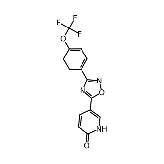 O=c1ccc(-c2nc(C3=CC=C(OC(F)(F)F)CC3)no2)c[nH]1